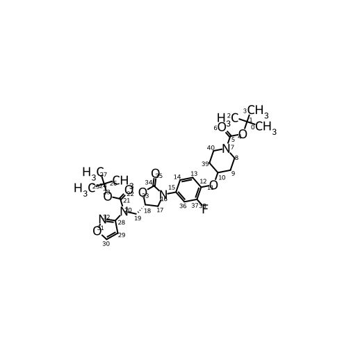 CC(C)(C)OC(=O)N1CCC(Oc2ccc(N3C[C@H](CN(C(=O)OC(C)(C)C)c4ccon4)OC3=O)cc2F)CC1